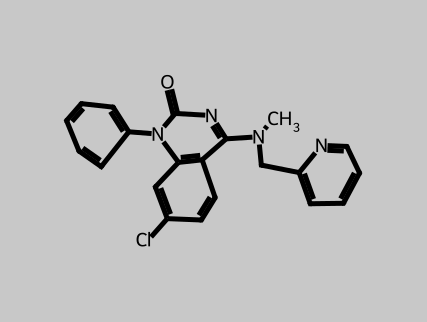 CN(Cc1ccccn1)c1nc(=O)n(-c2ccccc2)c2cc(Cl)ccc12